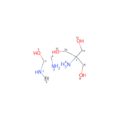 CCNCO.CN.NC(CO)(CO)CO